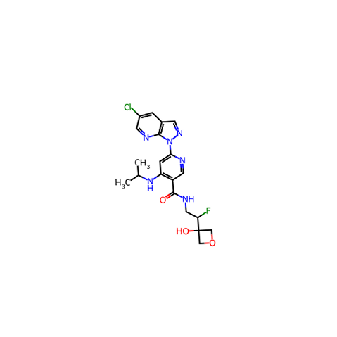 CC(C)Nc1cc(-n2ncc3cc(Cl)cnc32)ncc1C(=O)NCC(F)C1(O)COC1